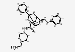 NC[C@H]1CC[C@H](NC(=S)C23CC4CC(c5ccccc5)(CC(C2)C4=CCc2ccccc2)C3)CC1